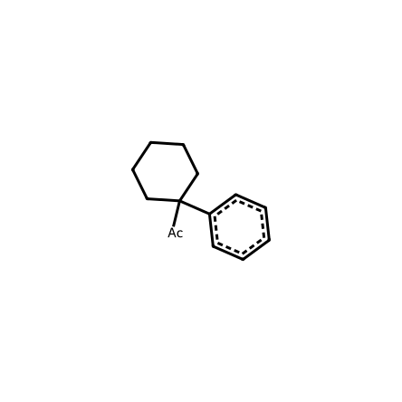 CC(=O)C1(c2ccccc2)CCCCC1